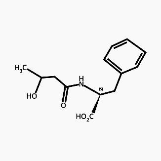 CC(O)CC(=O)N[C@@H](Cc1ccccc1)C(=O)O